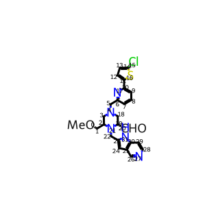 COCC1CN(Cc2cccc(-c3ccc(Cl)s3)n2)CC(C=O)N1Cc1cc2cnccc2[nH]1